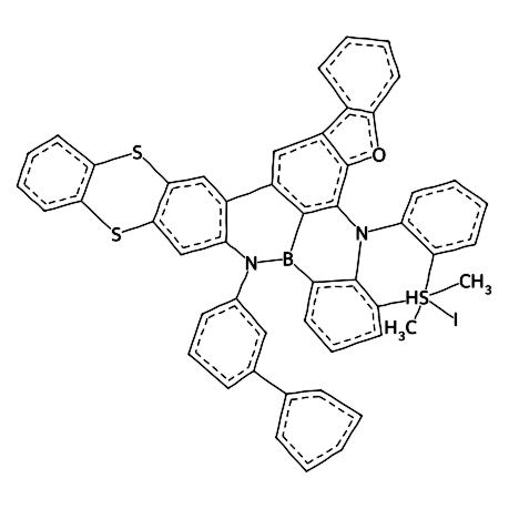 C[SH]1(C)(I)c2ccccc2N2c3c(cccc31)B1c3c(cc4c(oc5ccccc54)c32)-c2cc3c(cc2N1c1cccc(-c2ccccc2)c1)Sc1ccccc1S3